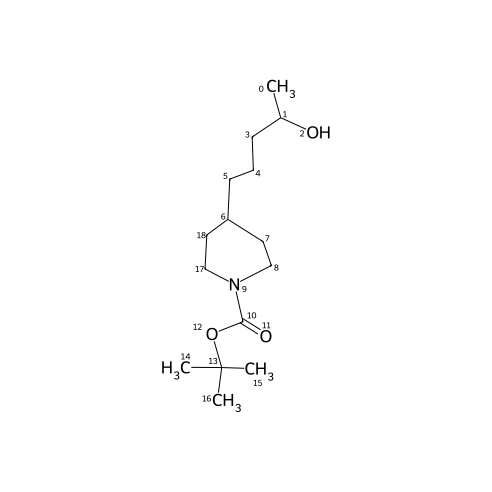 CC(O)CCCC1CCN(C(=O)OC(C)(C)C)CC1